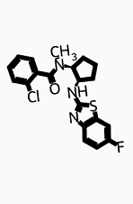 CN(C(=O)c1ccccc1Cl)[C@H]1CCC[C@H]1Nc1nc2ccc(F)cc2s1